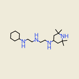 CC1(C)CC(NCCNCCNC2CCCCC2)CC(C)(C)N1